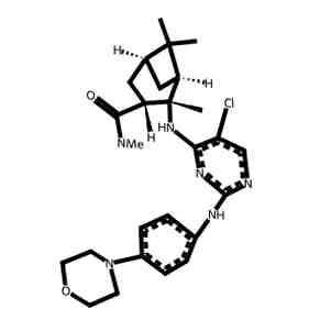 CNC(=O)[C@@H]1C[C@@H]2C[C@@H](C2(C)C)[C@]1(C)Nc1nc(Nc2ccc(N3CCOCC3)cc2)ncc1Cl